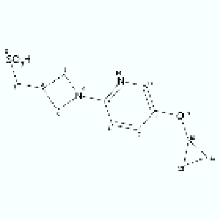 O=S(=O)(O)CC1CN(c2ccc(OC3CC3)cn2)C1